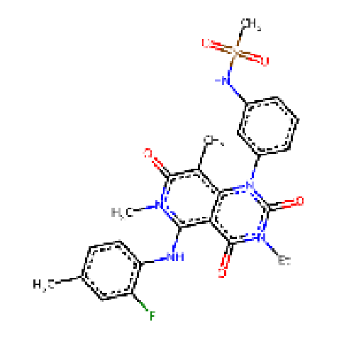 CCn1c(=O)c2c(Nc3ccc(C)cc3F)n(C)c(=O)c(C)c2n(-c2cccc(NS(C)(=O)=O)c2)c1=O